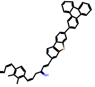 C=C/C=C\c1ccc(/C=C\CC(=N)/C=C/c2ccc3c(c2)sc2cc(-c4ccc5c6ccccc6c6ccccc6c5c4)ccc23)c(C)c1C